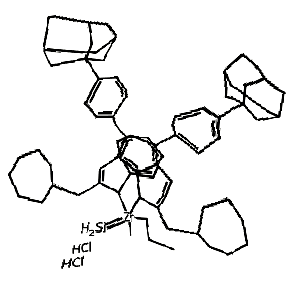 CC[CH2][Zr]([CH3])(=[SiH2])([CH]1C(CC2CCCCCC2)=Cc2c(-c3ccc(C45CC6CC(CC(C6)C4)C5)cc3)cccc21)[CH]1C(CC2CCCCCC2)=Cc2c(-c3ccc(C45CC6CC(CC(C6)C4)C5)cc3)cccc21.Cl.Cl